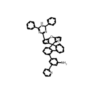 Nc1cc(-c2ccccn2)cc(-c2cccc3c2-c2ccccc2C32c3ccccc3Oc3c(C4=NC(c5ccccc5)NC(c5ccccc5)=N4)cccc32)c1